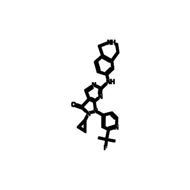 CC(C)(F)c1cc(-n2c3nc(Nc4ccc5c(c4)CCNC5)ncc3c(=O)n2C2CC2)ccn1